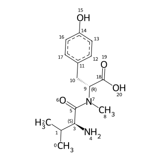 CC(C)[C@H](N)C(=O)N(C)[C@H](Cc1ccc(O)cc1)C(=O)O